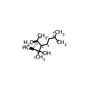 C#CC(C)(O)C(CCC(C)C)C(=C)C